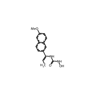 CC=C(NC(=O)NO)c1ccc2cc(OC)ccc2c1